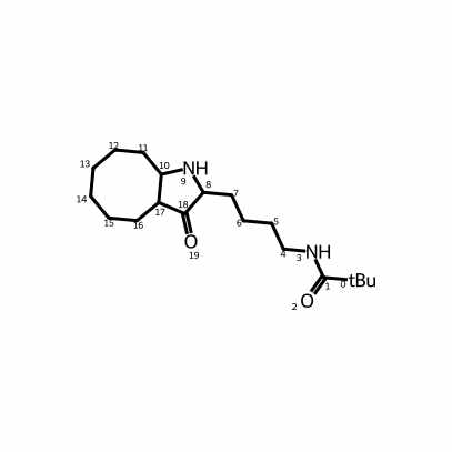 CC(C)(C)C(=O)NCCCCC1NC2CCCCCCC2C1=O